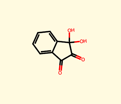 O=C1C(=O)C(O)(O)c2ccccc21